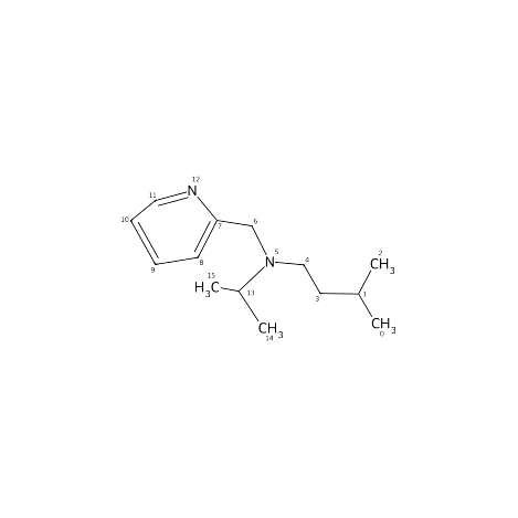 CC(C)CCN(Cc1ccccn1)C(C)C